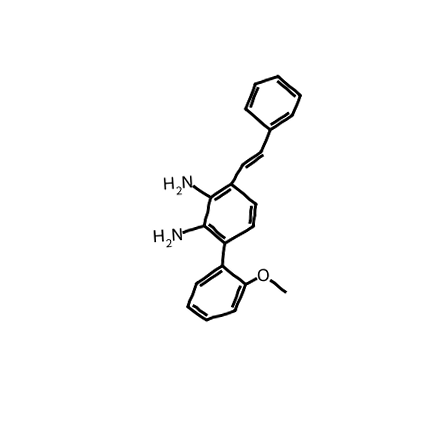 COc1ccccc1-c1ccc(C=Cc2ccccc2)c(N)c1N